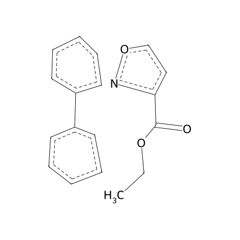 CCOC(=O)c1ccon1.c1ccc(-c2ccccc2)cc1